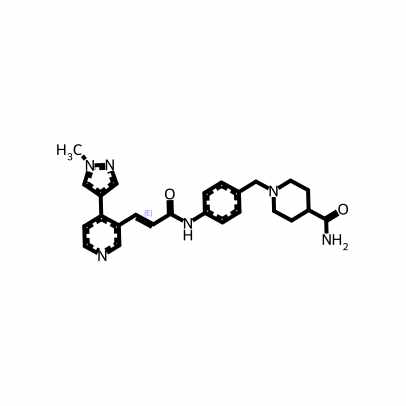 Cn1cc(-c2ccncc2/C=C/C(=O)Nc2ccc(CN3CCC(C(N)=O)CC3)cc2)cn1